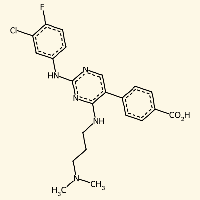 CN(C)CCCNc1nc(Nc2ccc(F)c(Cl)c2)ncc1-c1ccc(C(=O)O)cc1